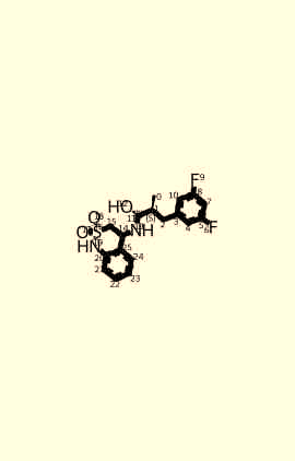 C[C@@H](Cc1cc(F)cc(F)c1)[C@@H](O)NC1CS(=O)(=O)Nc2ccccc21